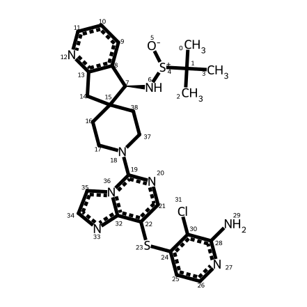 CC(C)(C)[S+]([O-])N[C@@H]1c2cccnc2CC12CCN(c1ncc(Sc3ccnc(N)c3Cl)c3nccn13)CC2